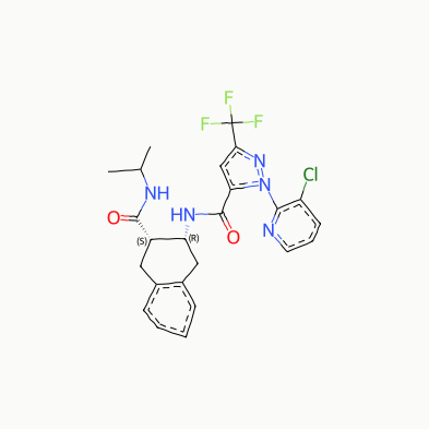 CC(C)NC(=O)[C@H]1Cc2ccccc2C[C@H]1NC(=O)c1cc(C(F)(F)F)nn1-c1ncccc1Cl